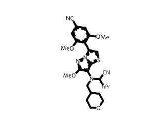 CCCC(C#N)N(CC1CCOCC1)c1c(OC)nn2c(-c3c(OC)cc(C#N)cc3OC)csc12